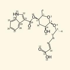 CC1O[C@@H](O[C@H](C)CC/C=C/C(=O)O)[C@@H](O)C[C@H]1OC(=O)c1c[nH]c2ccccc12